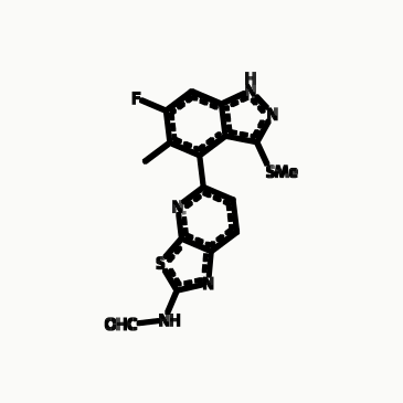 CSc1n[nH]c2cc(F)c(C)c(-c3ccc4nc(NC=O)sc4n3)c12